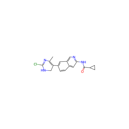 CC1=C(c2ccc3cc(NC(=O)C4CC4)ncc3c2)CNC(Cl)=N1